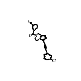 N#Cc1cccc(C(=O)N2CCn3c(C#Cc4cccc(Cl)c4)ccc3C2)c1